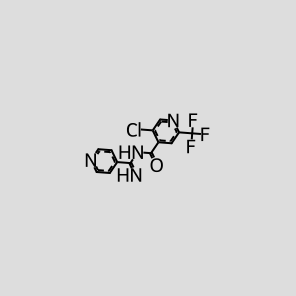 N=C(NC(=O)c1cc(C(F)(F)F)ncc1Cl)c1ccncc1